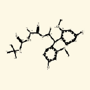 COc1cc(Cl)ccc1C(c1ccc(Cl)cc1OC)[C@H](C)OC(=O)[C@H](C)NC(=O)OC(C)(C)C